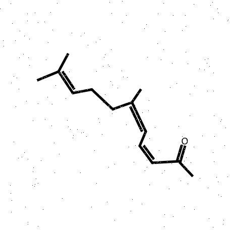 CC(=O)/C=C\C=C(\C)CCC=C(C)C